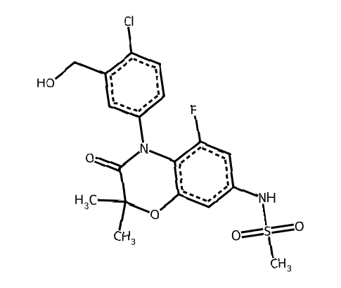 CC1(C)Oc2cc(NS(C)(=O)=O)cc(F)c2N(c2ccc(Cl)c(CO)c2)C1=O